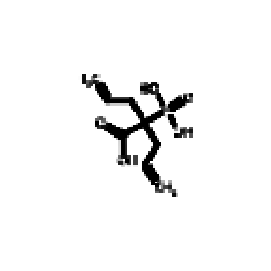 C=CCC(CC=C)(C(=O)O)P(=O)(O)O